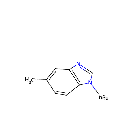 CCCCn1cnc2cc(C)ccc21